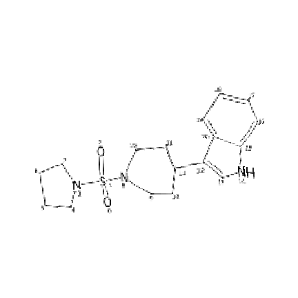 O=S(=O)(N1CCCC1)N1CCC(c2c[nH]c3ccccc23)CC1